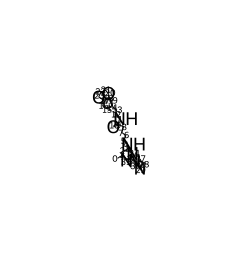 Cc1cc(NCCCCC(=O)NCCc2ccc3c(c2)OCCO3)nc(-n2ccnc2)n1